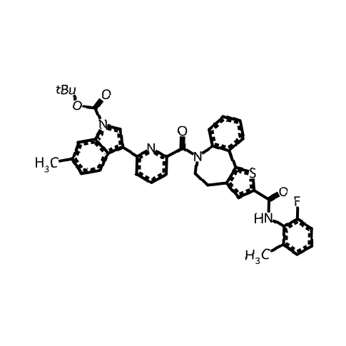 Cc1ccc2c(-c3cccc(C(=O)N4CCc5cc(C(=O)Nc6c(C)cccc6F)sc5-c5ccccc54)n3)cn(C(=O)OC(C)(C)C)c2c1